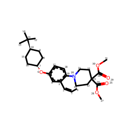 C/C=C\c1cc(O[C@H]2CC[C@H](C(C)(C)C)CC2)ccc1N1CCC(C(=O)OC)(C(=O)OC)CC1